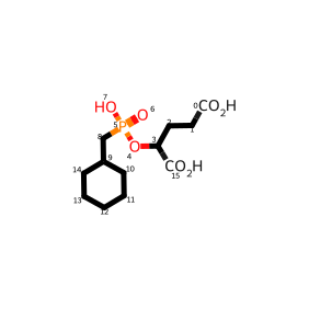 O=C(O)CCC(OP(=O)(O)CC1CCCCC1)C(=O)O